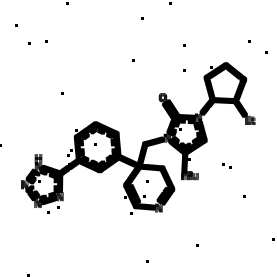 CCCCc1cn(C2CCCC2CC)c(=O)n1CC1(c2cccc(-c3nnn[nH]3)c2)C=CN=CC1